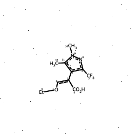 CCO/C=C(\C(=O)O)c1c(C(F)(F)F)nn(C)c1C